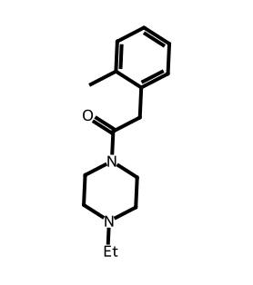 CCN1CCN(C(=O)Cc2ccccc2C)CC1